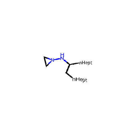 CCCCCCCCC(CCCCCCC)NN1CC1